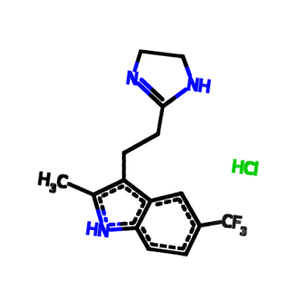 Cc1[nH]c2ccc(C(F)(F)F)cc2c1CCC1=NCCN1.Cl